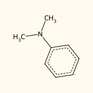 CN(C)c1cc[c]cc1